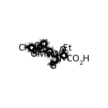 CCOc1cc(C(=O)O)cc2c1nc(CN1CCC(c3cccc4c3OC(C)(c3ccc(Cl)cc3OC)O4)CC1)n2CC1CCO1